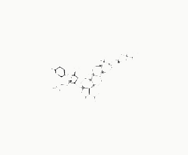 CC(C)C1=C2[C@H]3CCC4[C@@]5(C)CC[C@H](OC(=O)CC(C)(C)C(=O)O)C(C)(C)[C@@H]5CC[C@@]4(C)[C@]3(C)CC[C@@]2(Cc2cc(=O)n(-c3ccc(Cl)cc3)n2CCN(C)C)CC1=O